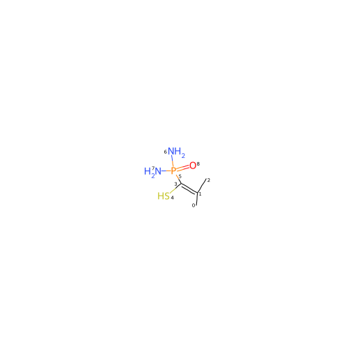 CC(C)=C(S)P(N)(N)=O